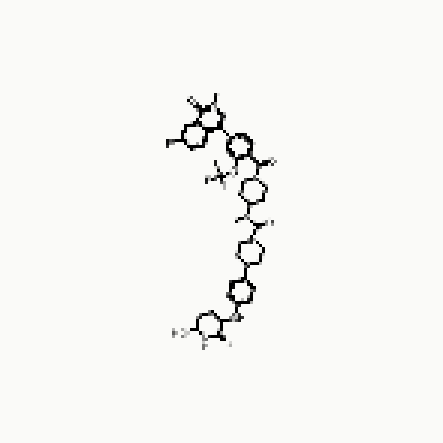 CN(C(=O)N1CCC(c2ccc(NC3CCC(O)NC3=O)cc2)CC1)C1CCN(C(=O)c2ccc(-c3cn(C)c(=O)c4cc(F)ccc34)cc2OC(F)(F)F)CC1